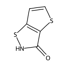 O=c1[nH]sc2ccsc12